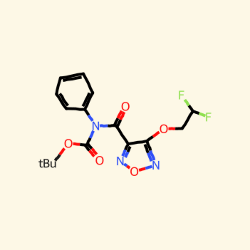 CC(C)(C)OC(=O)N(C(=O)c1nonc1OCC(F)F)c1ccccc1